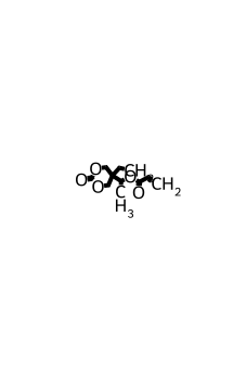 C=CC(=O)OC(C)C1(CC)COC(=O)OC1